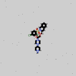 CN1CCC(N2CCN(C(=O)COC[C@@H]3Cc4ccccc4CN3S(=O)(=O)c3ccc(Cl)cc3Cl)CC2)CC1